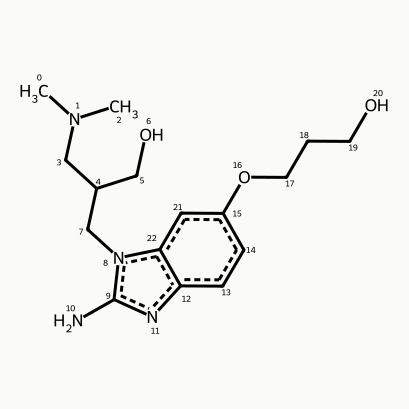 CN(C)CC(CO)Cn1c(N)nc2ccc(OCCCO)cc21